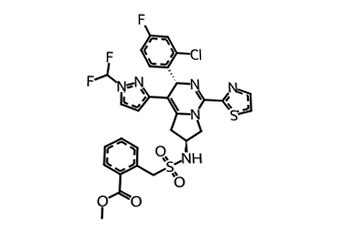 COC(=O)c1ccccc1CS(=O)(=O)N[C@H]1CC2=C(c3ccn(C(F)F)n3)[C@H](c3ccc(F)cc3Cl)N=C(c3nccs3)N2C1